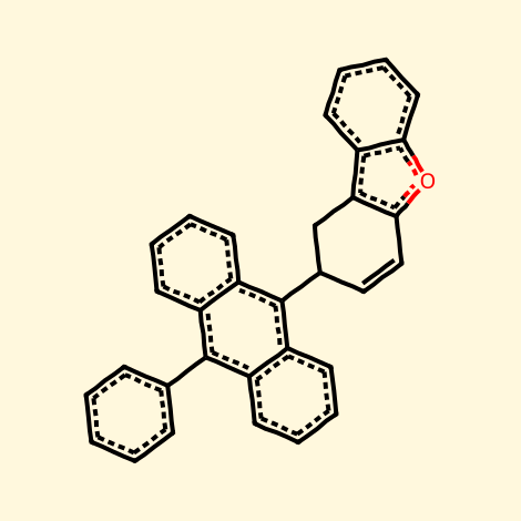 C1=CC(c2c3ccccc3c(-c3ccccc3)c3ccccc23)Cc2c1oc1ccccc21